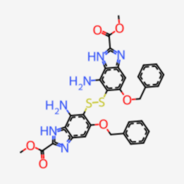 COC(=O)c1nc2cc(OCc3ccccc3)c(SSc3c(OCc4ccccc4)cc4nc(C(=O)OC)[nH]c4c3N)c(N)c2[nH]1